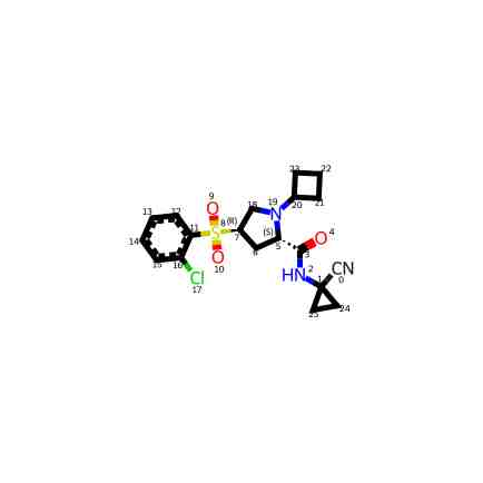 N#CC1(NC(=O)[C@@H]2C[C@@H](S(=O)(=O)c3ccccc3Cl)CN2C2CCC2)CC1